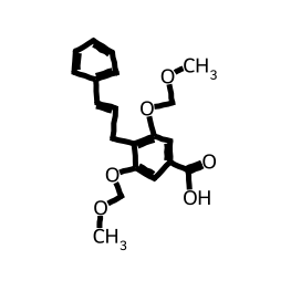 COCOc1cc(C(=O)O)cc(OCOC)c1CC=Cc1ccccc1